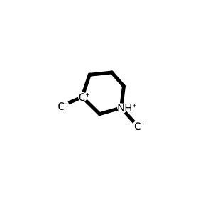 [CH2-][C+]1CCC[NH+]([CH2-])C1